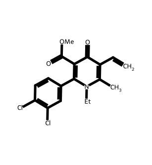 C=Cc1c(C)n(CC)c(-c2ccc(Cl)c(Cl)c2)c(C(=O)OC)c1=O